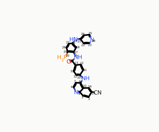 N#Cc1ccc2nccc(Nc3ccc(C(=O)Nc4cc(Nc5ccncc5)ccc4P)cc3)c2c1